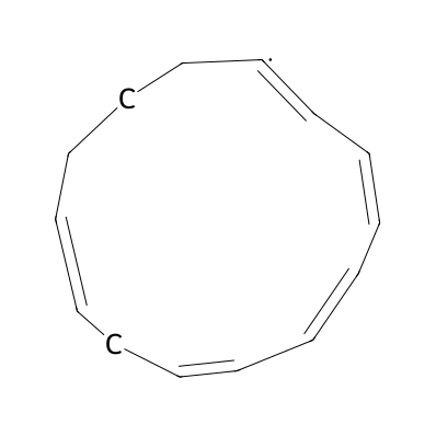 [C]1=CC=CC=CC=CCC=CCCC1